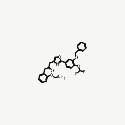 CCOc1ccccc1CC(=O)Cc1coc(-c2ccc(OC(F)F)c(OCc3ccccc3)c2)n1